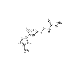 CC(C)(C)OC(=O)NCCO/N=C(\C(=O)O)c1csc(N)n1